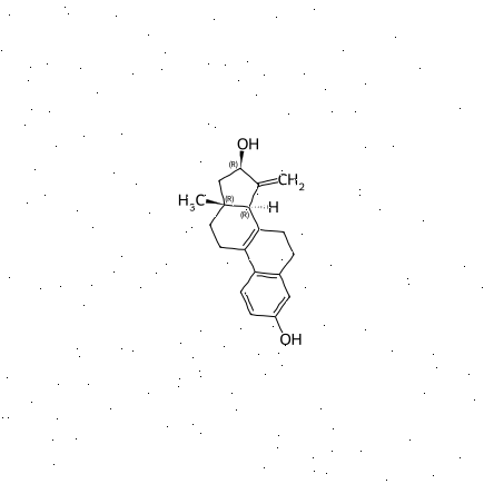 C=C1[C@H]2C3=C(CC[C@]2(C)C[C@H]1O)c1ccc(O)cc1CC3